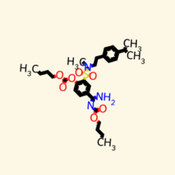 CCCCOC(=O)/N=C(\N)c1ccc(OC(=O)OCCCC)c(S(=O)(=O)N(C)CCc2ccc(C(C)C)cc2)c1